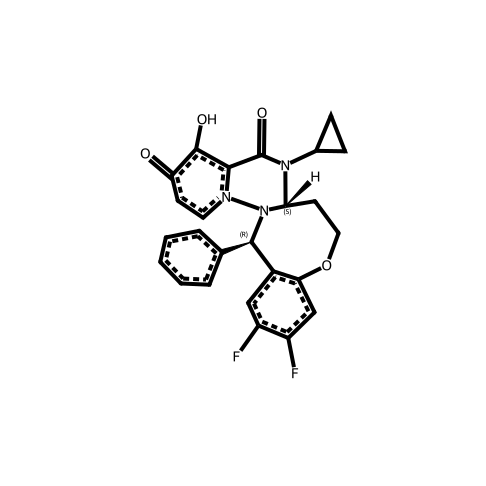 O=C1c2c(O)c(=O)ccn2N2[C@H](c3ccccc3)c3cc(F)c(F)cc3OCC[C@H]2N1C1CC1